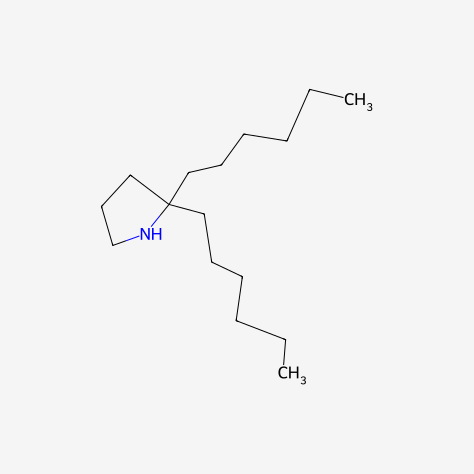 CCCCCCC1(CCCCCC)CCCN1